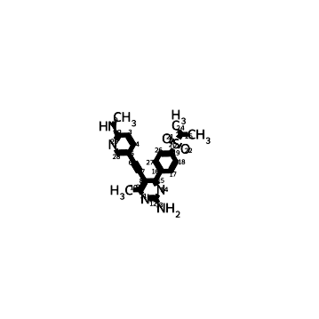 CNc1ccc(C#Cc2c(C)nc(N)nc2-c2ccc(S(=O)(=O)C(C)C)cc2)cn1